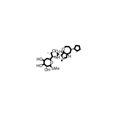 CSC1OC([C@H](NC(=O)[C@@H]2[C@@H]3OCC[C@@H](C4CCCC4)C[C@H]3CN2C)[C@H](C)Cl)CC(O)C(O)[C@H]1O